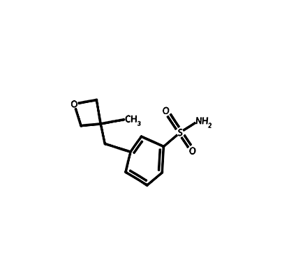 CC1(Cc2cccc(S(N)(=O)=O)c2)COC1